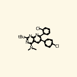 CN(C)c1nc(C(C)(C)C)nc2nc(-c3ccccc3Cl)c(-c3ccc(Cl)cc3)cc12